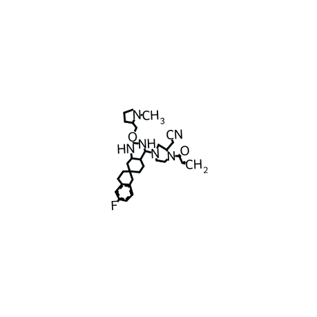 C=CC(=O)N1CCN(C2NC(OCC3CCCN3C)NC3CC4(CCc5cc(F)ccc5C4)CCC32)CC1CC#N